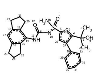 CC(C)(O)c1sc(S(N)(=O)=NC(=O)Nc2c3c(cc4c2CCC4)CCC3)cc1-c1ccccc1